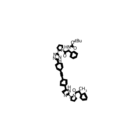 C[C@@H](C(=O)N1CCC[C@H]1c1ncc(-c2ccc(C#Cc3ccc(-c4nnc([C@@H]5CCCN5C(=O)[C@H](NC(=O)OC(C)(C)C)c5ccccc5)[nH]4)cc3)cc2)[nH]1)c1ccccc1